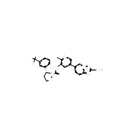 Cc1ncc(-c2ccc3nc(N)nn3c2)cc1NC(=O)N1OCC[C@H]1c1cccc(C(F)(F)F)c1